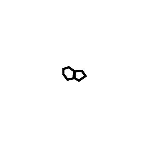 [C]1CCC2=C(C1)CCC2